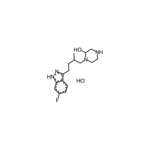 CC(CCc1n[nH]c2cc(F)ccc12)CN1CCNCC1O.Cl